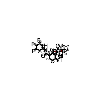 COC(=O)NC1C2CC1CC(S(=O)(=O)c1cc(C(=O)Nc3cc(F)c(F)c(F)c3)ccc1Cl)C2